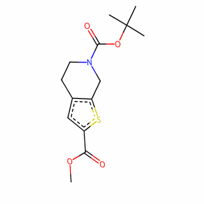 COC(=O)c1cc2c(s1)CN(C(=O)OC(C)(C)C)CC2